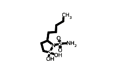 CCCCCC1CCS(O)(O)N1S(N)(=O)=O